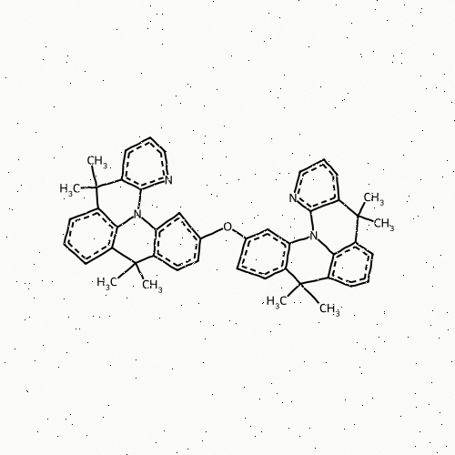 CC1(C)c2ccc(Oc3ccc4c(c3)N3c5ncccc5C(C)(C)c5cccc(c53)C4(C)C)cc2N2c3ncccc3C(C)(C)c3cccc1c32